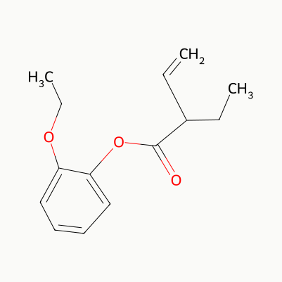 C=CC(CC)C(=O)Oc1ccccc1OCC